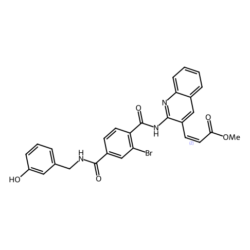 COC(=O)/C=C\c1cc2ccccc2nc1NC(=O)c1ccc(C(=O)NCc2cccc(O)c2)cc1Br